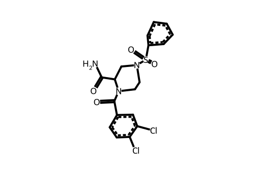 NC(=O)C1CN(S(=O)(=O)c2ccccc2)CCN1C(=O)c1ccc(Cl)c(Cl)c1